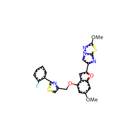 COc1cc(OCc2csc(-c3ccccc3F)n2)c2cc(-c3cn4nc(OC)sc4n3)oc2c1